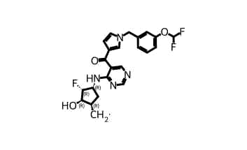 [CH2][C@@H]1C[C@@H](Nc2ncncc2C(=O)c2ccn(Cc3cccc(OC(F)F)c3)c2)[C@@H](F)[C@@H]1O